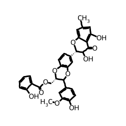 COc1cc(C2Oc3cc([C@@H]4Oc5cc(C)cc(O)c5C(=O)C4O)ccc3O[C@H]2COC(=O)c2ccccc2O)ccc1O